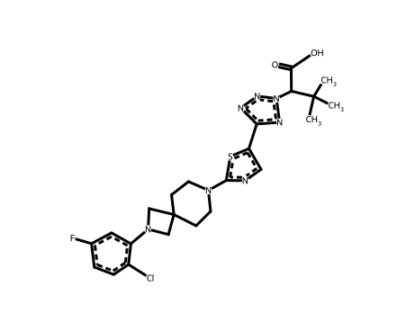 CC(C)(C)C(C(=O)O)n1nnc(-c2cnc(N3CCC4(CC3)CN(c3cc(F)ccc3Cl)C4)s2)n1